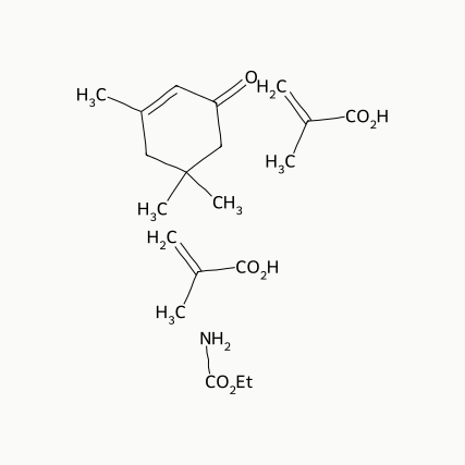 C=C(C)C(=O)O.C=C(C)C(=O)O.CC1=CC(=O)CC(C)(C)C1.CCOC(N)=O